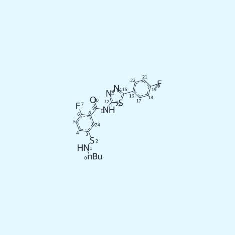 CCCCNSc1ccc(F)c(C(=O)Nc2nnc(-c3ccc(F)cc3)s2)c1